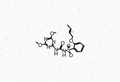 C/C=C/COc1ccccc1S(=O)(=O)NC(=O)Nc1nc(OC)nc(OC)n1